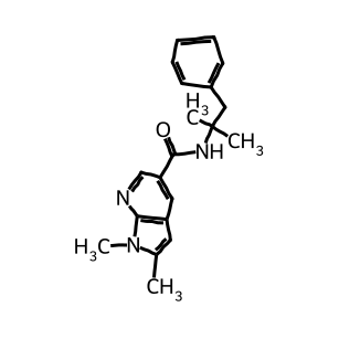 Cc1cc2cc(C(=O)NC(C)(C)Cc3ccccc3)cnc2n1C